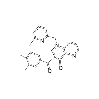 Cc1cccc(Cn2cc(C(=O)c3ccc(C)c(C)c3)c(=O)c3ncccc32)n1